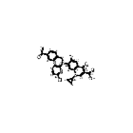 O=C(O)c1ccc(CN(c2cncc(Cl)n2)c2cc3c(cc2F)c(=O)c(C(=O)O)cn3C2CC2)cc1